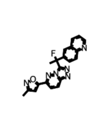 Cc1cc(-c2ccc3nnc(C(C)(F)c4ccc5ncccc5c4)n3n2)on1